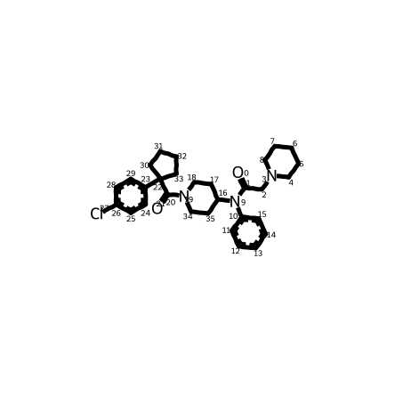 O=C(CN1CCCCC1)N(c1ccccc1)C1CCN(C(=O)C2(c3ccc(Cl)cc3)CCCC2)CC1